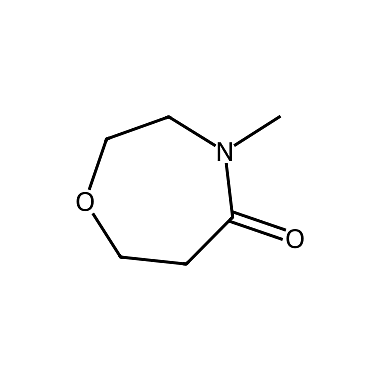 CN1CCOCCC1=O